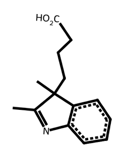 CC1=Nc2ccccc2C1(C)CCCC(=O)O